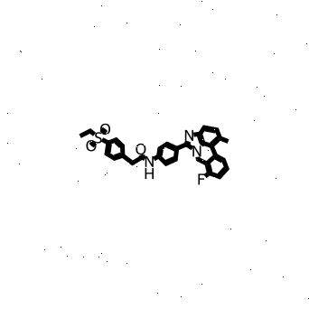 CCS(=O)(=O)c1ccc(CC(=O)Nc2ccc(-c3nc4ccc(C)c5c4n3Cc3c(F)cccc3-5)cc2)cc1